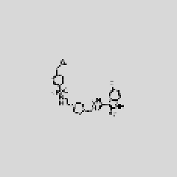 CC(=O)c1[nH]c2ccc(F)cc2c1-c1cn(CC2CCN(CCNS(=O)(=O)c3ccc(CC4CC4)cc3)CC2)nn1